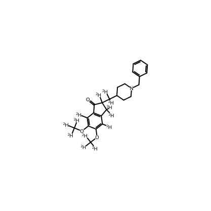 [2H]c1c(OC([2H])([2H])[2H])c(OC([2H])([2H])[2H])c([2H])c2c1C(=O)C([2H])(C([2H])([2H])C1CCN(Cc3ccccc3)CC1)C2([2H])[2H]